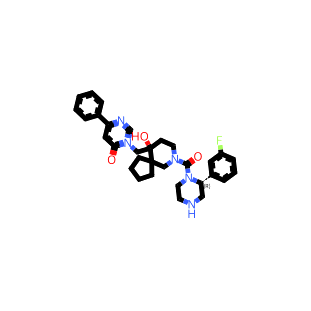 O=C(N1CCC(O)(Cn2cnc(-c3ccccc3)cc2=O)C2(CCCC2)C1)N1CCNC[C@H]1c1cccc(F)c1